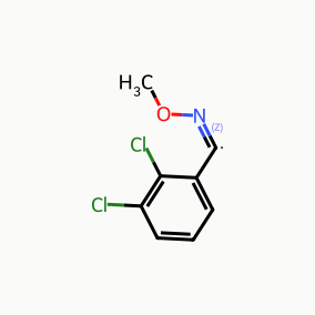 CO/N=[C]\c1cccc(Cl)c1Cl